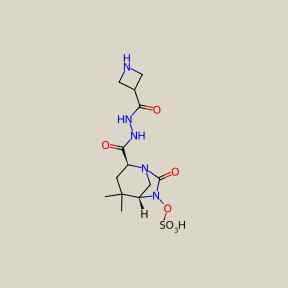 CC1(C)C[C@@H](C(=O)NNC(=O)C2CNC2)N2C[C@@H]1N(OS(=O)(=O)O)C2=O